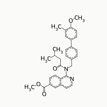 COC(=O)c1ccc2c(N(Cc3ccc(-c4ccc(OC)c(C)c4)cc3)C(=O)CC(C)C)nccc2c1